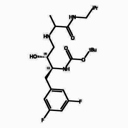 CC(C)CNC(=O)C(C)NC[C@@H](O)[C@H](Cc1cc(F)cc(F)c1)NC(=O)OC(C)(C)C